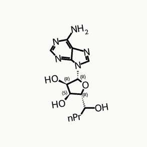 CCCC(O)[C@H]1O[C@@H](n2cnc3c(N)ncnc32)[C@H](O)[C@@H]1O